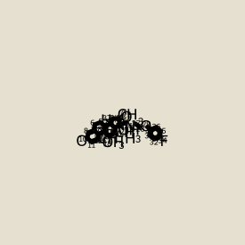 C[C@@H]1C[C@H]2[C@@H]3CCC4=CC(=O)C=C[C@]4(C)[C@@]3(F)[C@@H](O)C[C@]2(C)[C@@]1(O)C(=O)NCCOc1ccc(F)cc1